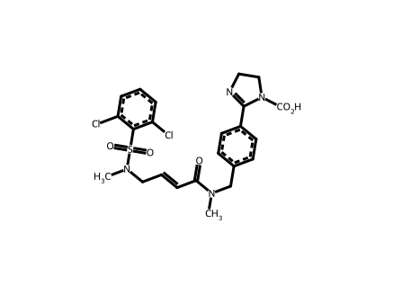 CN(Cc1ccc(C2=NCCN2C(=O)O)cc1)C(=O)/C=C/CN(C)S(=O)(=O)c1c(Cl)cccc1Cl